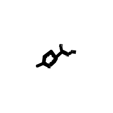 Cc1ccc(C(Cl)=NO)cn1